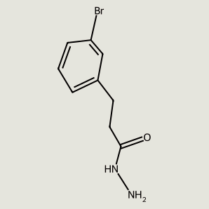 NNC(=O)CCc1cccc(Br)c1